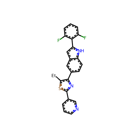 CCc1sc(-c2cccnc2)nc1-c1ccc2[nH]c(-c3c(F)cccc3F)cc2c1